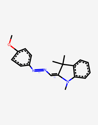 COc1ccc(/N=N/C=C2/N(C)c3ccccc3C2(C)C)cc1